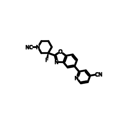 N#Cc1ccnc(-c2ccc3oc([C@@]4(F)CCCN(C#N)C4)nc3c2)c1